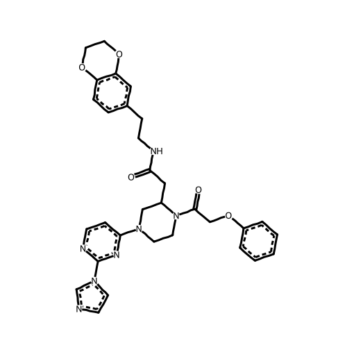 O=C(CC1CN(c2ccnc(-n3ccnc3)n2)CCN1C(=O)COc1ccccc1)NCCc1ccc2c(c1)OCCO2